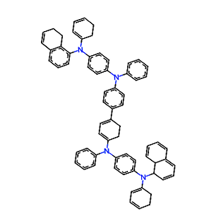 C1=CCCC(N(c2ccc(N(c3ccccc3)c3ccc(C4=CC=C(N(c5ccccc5)c5ccc(N(C6=CC=CCC6)C6C=CC=C7C=CC=CC76)cc5)CC4)cc3)cc2)c2cccc3c2CCC=C3)=C1